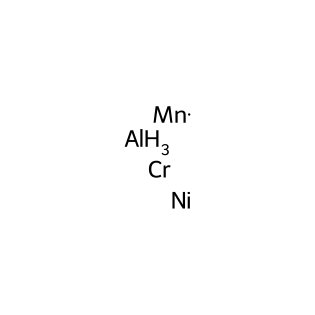 [AlH3].[Cr].[Mn].[Ni]